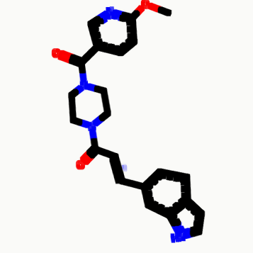 COc1ccc(C(=O)N2CCN(C(=O)/C=C/c3ccc4cc[nH]c4c3)CC2)cn1